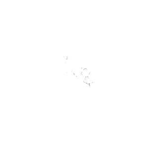 CC1(CC(C)(C)OC(N)=O)CCN(c2ncc(I)c3nncn23)CC1